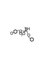 CB[C@H](CCOCc1ccccc1)[C@@H](COCc1ccc(OC)cc1)OC(C)=O